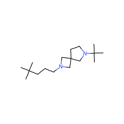 CC(C)(C)CCCN1CC2(CCN(C(C)(C)C)C2)C1